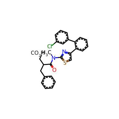 CN(C(=O)C(CC(=O)O)Cc1ccccc1)c1nc(-c2ccccc2-c2cccc(Cl)c2)cs1